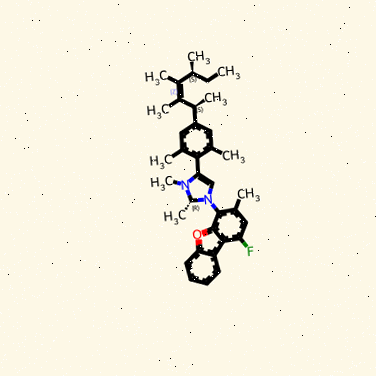 CC[C@H](C)/C(C)=C(/C)[C@@H](C)c1cc(C)c(C2=CN(c3c(C)cc(F)c4c3oc3ccccc34)[C@H](C)N2C)c(C)c1